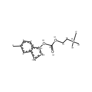 Cc1ccc2c(c1)nnn2OC(=O)OCC[Si](C)(C)C